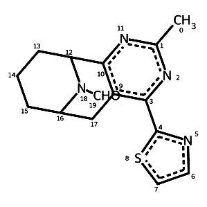 Cc1nc(-c2nccs2)c2c(n1)C1CCCC(C2)N1C=O